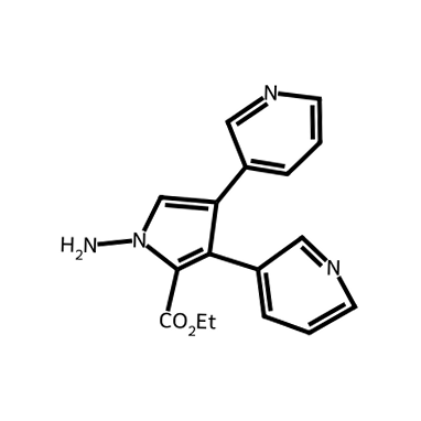 CCOC(=O)c1c(-c2cccnc2)c(-c2cccnc2)cn1N